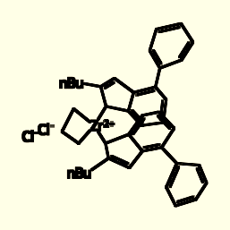 CCCCC1=Cc2c(-c3ccccc3)cccc2[CH]1[Zr+2]1([CH]2C(CCCC)=Cc3c(-c4ccccc4)cccc32)[CH2]C[CH2]1.[Cl-].[Cl-]